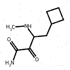 CNC(CC1CCC1)C(=O)C(N)=O